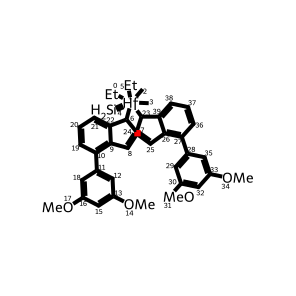 C[CH2][Hf]([CH3])([CH3])(=[SiH2])([CH2]C)([CH]1C=Cc2c(-c3cc(OC)cc(OC)c3)cccc21)[CH]1C=Cc2c(-c3cc(OC)cc(OC)c3)cccc21